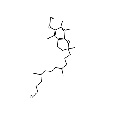 Cc1c(C)c2c(c(C)c1OC(C)C)CCC(C)(CCCC(C)CCCC(C)CCCC(C)C)O2